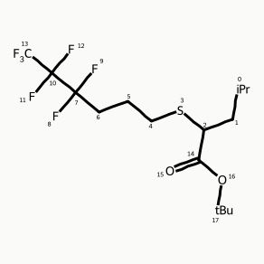 CC(C)CC(SCCCC(F)(F)C(F)(F)C(F)(F)F)C(=O)OC(C)(C)C